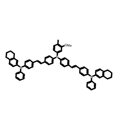 COc1cc(N(c2ccc(/C=C/c3ccc(N(c4ccccc4)c4ccc5c(c4)CCCC5)cc3)cc2)c2ccc(/C=C/c3ccc(N(c4ccccc4)c4ccc5c(c4)CCCC5)cc3)cc2)ccc1C